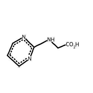 O=C(O)CNc1n[c]ccn1